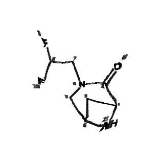 O=C1C2CC(CN1CC(F)F)N2